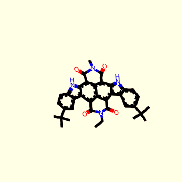 CCN1C(=O)c2c3c(c4c([nH]c5ccc(C(C)(C)C)cc54)c4c3c(c3[nH]c5ccc(C(C)(C)C)cc5c23)C(=O)N(C)C4=O)C1=O